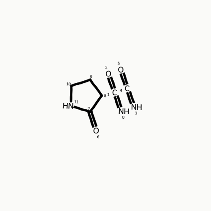 N=C=O.N=C=O.O=C1CCCN1